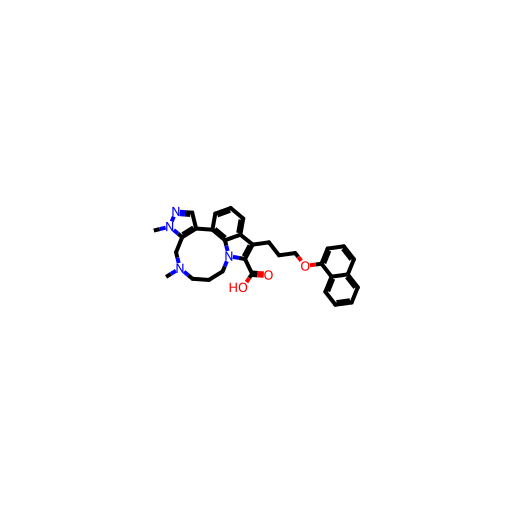 CN1CCCn2c(C(=O)O)c(CCCOc3cccc4ccccc34)c3cccc(c32)-c2cnn(C)c2C1